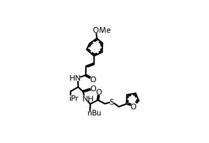 CCCCC(NC(=O)C(CC(C)C)NC(=O)C=Cc1ccc(OC)cc1)C(=O)CSCc1ccco1